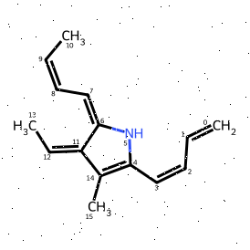 C=C/C=C\c1[nH]c(=C/C=C\C)/c(=C\C)c1C